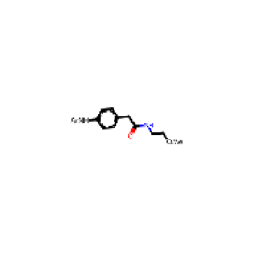 COCCNC(=O)Cc1ccc(NC(C)=O)cc1